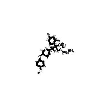 COc1ccc(Oc2ccc(C(F)(F)C(O)(CN(N)/C=N\N)c3ccc(F)cc3F)nc2)cc1